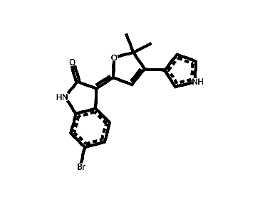 CC1(C)OC(=C2C(=O)Nc3cc(Br)ccc32)C=C1c1cc[nH]c1